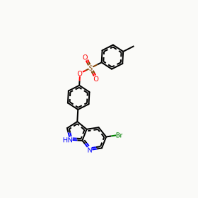 Cc1ccc(S(=O)(=O)Oc2ccc(-c3c[nH]c4ncc(Br)cc34)cc2)cc1